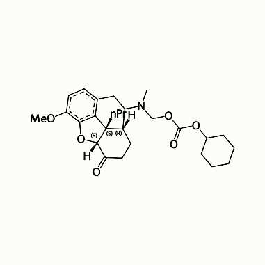 CCC[C@]12c3c4ccc(OC)c3O[C@H]1C(=O)CC[C@H]2C(N(C)COC(=O)OC1CCCCC1)C4